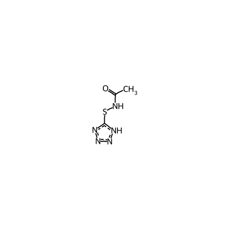 CC(=O)NSc1nnn[nH]1